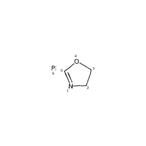 C1=NCCO1.[P]